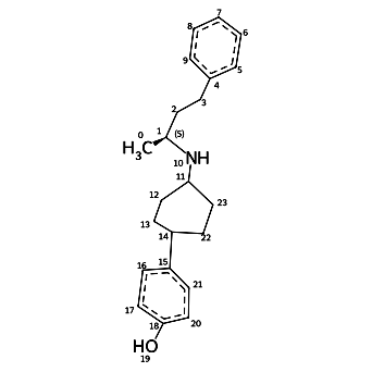 C[C@@H](CCc1ccccc1)NC1CCC(c2ccc(O)cc2)CC1